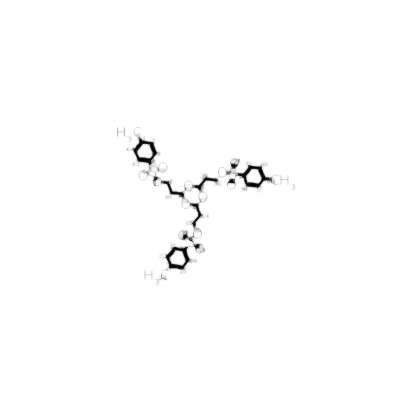 Cc1ccc(S(=O)(=O)OCCC2OC(CCOS(=O)(=O)c3ccc(C)cc3)OC(CCOS(=O)(=O)c3ccc(C)cc3)O2)cc1